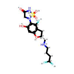 O=C1CN(c2c(O)cc3c(c2F)C[C@H](CNCCCC(F)F)O3)S(=O)(=O)N1